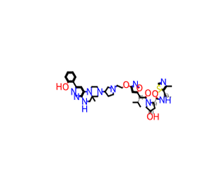 Cc1ncsc1[C@H](C)NC(=O)[C@@H]1C[C@@H](O)CN1C(=O)[C@@H](c1cc(OCCN2CCC(N3CCN4c5cc(-c6ccccc6O)nnc5NCC4(C)C3)C2)no1)C(C)C